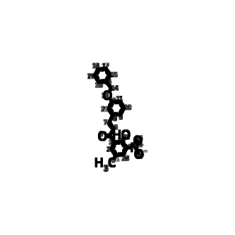 Cc1cc(C(=O)C=Cc2cccc(OCc3ccccc3)c2)c(O)c([N+](=O)[O-])c1